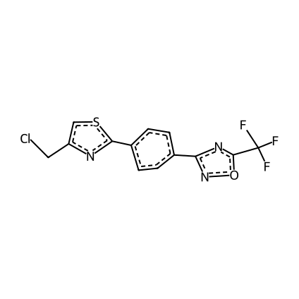 FC(F)(F)c1nc(-c2ccc(-c3nc(CCl)cs3)cc2)no1